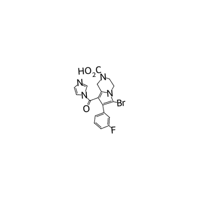 O=C(O)N1CCn2c(Br)c(-c3cccc(F)c3)c(C(=O)n3ccnc3)c2C1